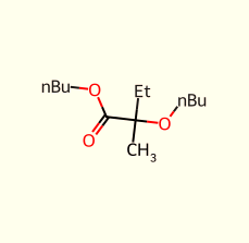 CCCCOC(=O)C(C)(CC)OCCCC